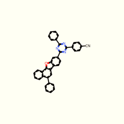 N#Cc1ccc(-c2nc(-c3ccccc3)nc(-c3ccc4c(c3)oc3c5ccccc5c(-c5ccccc5)cc43)n2)cc1